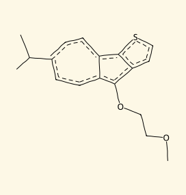 COCCOc1c2ccc(C(C)C)ccc-2c2sccc12